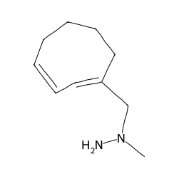 CN(N)C/C1=C\C=C/CCCC1